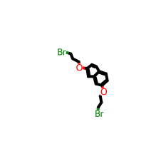 BrCCCOc1ccc2ccc(OCCCBr)cc2c1